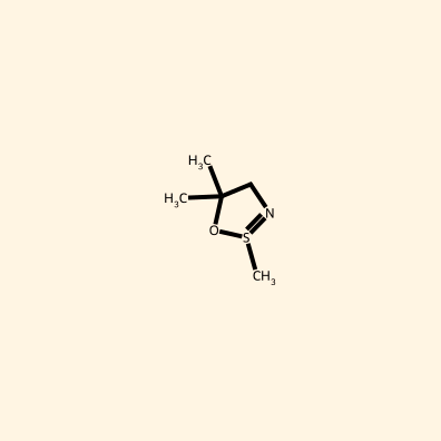 CS1=NCC(C)(C)O1